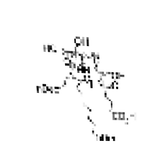 CCCCCCCCCCCCCCCCCC(=O)N(CCCCCCCCCCCC)[C@@H]1O[C@H](CO)[C@@H](O)[C@H](O)[C@@H]1NC(=O)[C@H](CO)NC(=O)CCCC(=O)O